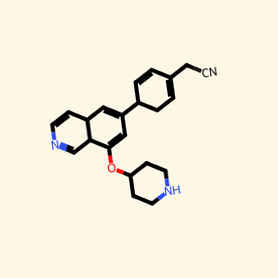 N#CCC1=CCC(C2=CC3C=CN=CC3C(OC3CCNCC3)=C2)C=C1